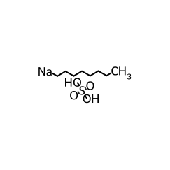 CCCCCCC[CH2][Na].O=S(=O)(O)O